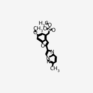 COc1cc(CS(=O)(=O)OC)c2cc(-c3cn4nc(C)ccc4n3)oc2c1